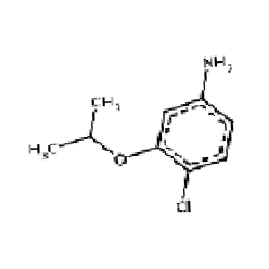 CC(C)Oc1cc(N)ccc1Cl